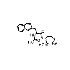 O=C(O)NC(Cc1ccc2ccccc2c1)C(=O)NC1CCCNC[C@@H]1O